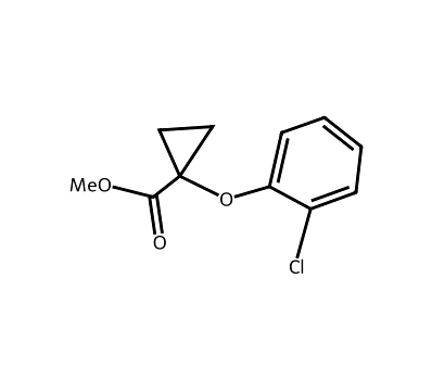 COC(=O)C1(Oc2ccccc2Cl)CC1